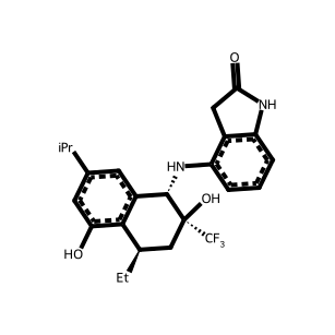 CC[C@@H]1C[C@@](O)(C(F)(F)F)[C@@H](Nc2cccc3c2CC(=O)N3)c2cc(C(C)C)cc(O)c21